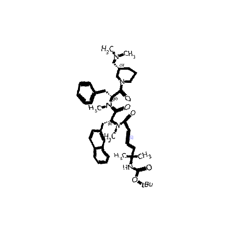 CN(C)C[C@@H]1CCCN(C(=O)[C@@H](Cc2ccccc2)N(C)C(=O)[C@@H](Cc2ccc3ccccc3c2)N(C)C(=O)/C=C/CC(C)(C)NC(=O)OC(C)(C)C)C1